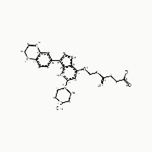 O=C(Cl)CCC(=O)OCOc1cc(N2CCOCC2)[o+]c2c(-c3ccc4c(c3)OCCO4)csc12.[Cl-]